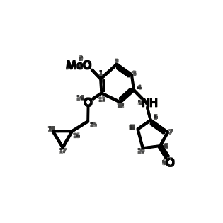 COc1ccc(NC2=CC(=O)CC2)cc1OCC1CC1